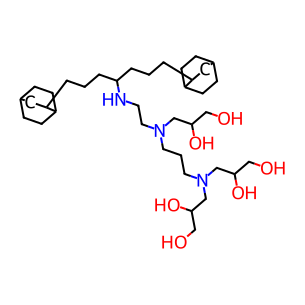 OCC(O)CN(CCCN(CC(O)CO)CC(O)CO)CCNC(CCCC1CC2CCC1CC2)CCCC1CC2CCC1CC2